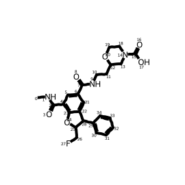 CNC(=O)c1cc(C(=O)NCCC2CN(C(=O)O)CCO2)cc2c1OC(CF)C2c1ccccc1